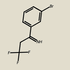 N=C(CC(F)(F)F)c1cccc(Br)c1